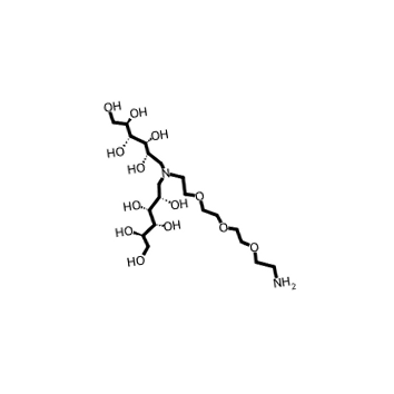 NCCOCCOCCOCCN(C[C@H](O)[C@@H](O)[C@H](O)[C@H](O)CO)C[C@H](O)[C@@H](O)[C@H](O)[C@H](O)CO